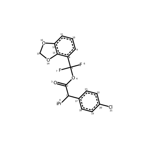 CC(C)C(C(=O)OC(F)(F)c1cccc2c1OCO2)c1ccc(Cl)cc1